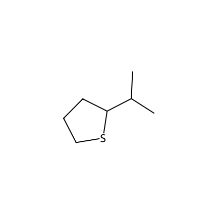 CC(C)C1CCCS1